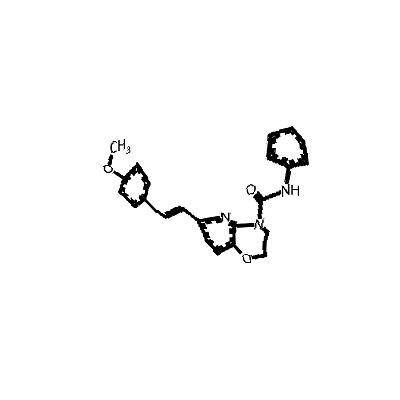 COc1ccc(/C=C/c2ccc3c(n2)N(C(=O)Nc2ccccc2)CCO3)cc1